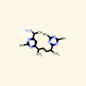 CC(C)c1nc(C(C)N)cc(C(C)CCC(C)c2nc(C(C)C)nc(C(C)C)n2)n1